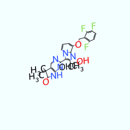 Cc1nc2c(OCc3c(F)ccc(F)c3F)cccn2c1-c1ncc2c(n1)NC(=O)C2(C)C.O=CO